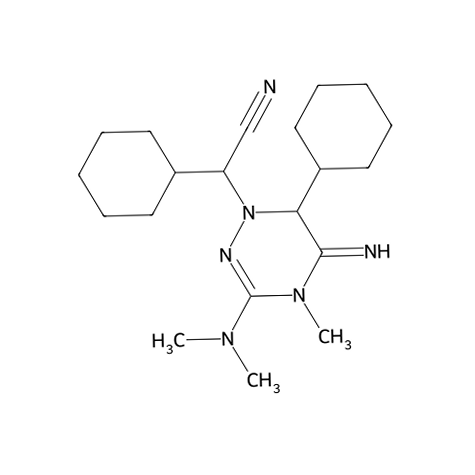 CN(C)C1=NN(C(C#N)C2CCCCC2)C(C2CCCCC2)C(=N)N1C